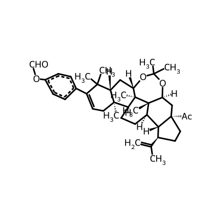 C=C(C)[C@@H]1CC[C@]2(C(C)=O)C[C@@H]3OC(C)(C)O[C@H]4C[C@H]5C(C)(C)C(c6ccc(OC=O)cc6)=CC[C@]5(C)[C@H]5CC[C@H]([C@@H]12)[C@]3(C)[C@]45C